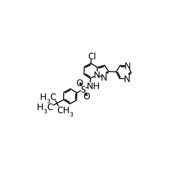 CC(C)(C)c1ccc(S(=O)(=O)Nc2ccc(Cl)c3cc(-c4cncnc4)nn23)cc1